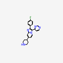 Fc1ccc(-c2nc3cc(C4CCNCC4)ccn3c2-c2ccncn2)cc1